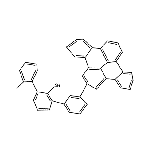 Cc1ccccc1-c1cccc(-c2cccc(-c3cc4c5ccccc5c5cccc6c7ccccc7c(c3)c4c56)c2)c1S